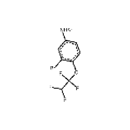 CC(=O)Nc1ccc(OC(F)(F)C(F)F)c(Br)c1